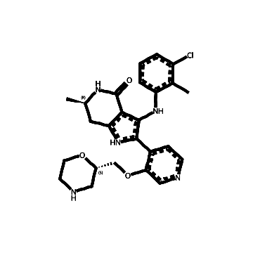 Cc1c(Cl)cccc1Nc1c(-c2ccncc2OC[C@@H]2CNCCO2)[nH]c2c1C(=O)N[C@H](C)C2